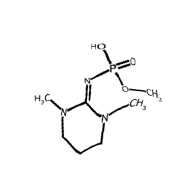 COP(=O)(O)N=C1N(C)CCCN1C